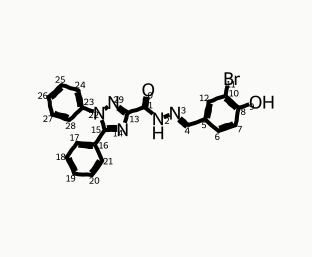 O=C(NN=Cc1ccc(O)c(Br)c1)c1nc(-c2ccccc2)n(-c2ccccc2)n1